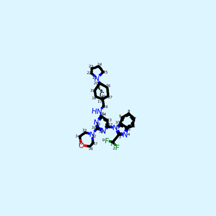 FC(F)c1nc2ccccc2n1-c1cc(NCC23CCC(N4CCCC4)(CC2)CC3)nc(N2CCOCC2)n1